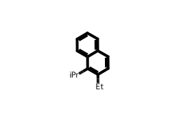 CCc1ccc2ccccc2c1C(C)C